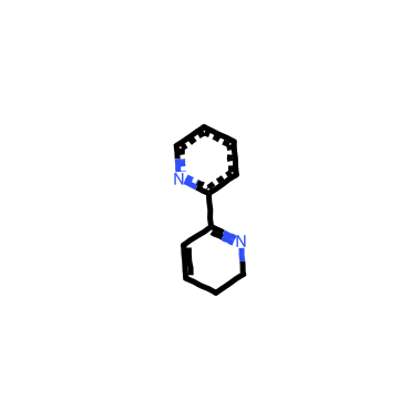 C1=CC(c2ccccn2)=NCC1